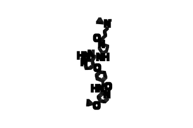 CN(CC=CC(=O)N1CCC(Nc2n[nH]c3nccc(Oc4ccc(C(=O)Nc5cc(OC6CC6)ccn5)cc4)c23)C1)C1CC1